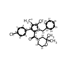 Cc1c(-c2ccc(Cl)cc2)c(C(=O)N2CCOC(C)(C)C2)n(Cc2ccccc2)c1C(F)(F)F